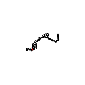 CCCCC/C=C\C/C=C\CCCCCCCCOCC(CN1CCCCC1)OCCCOCCCO[C@H]1CC[C@@]2(C)C(=CC[C@H]3[C@@H]4CC[C@H]([C@H](C)CCCC(C)C)[C@@]4(C)CC[C@@H]32)C1